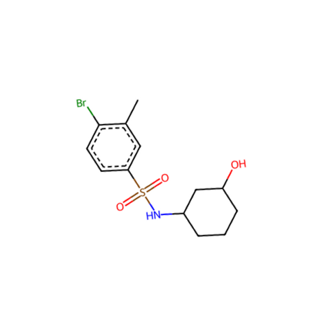 Cc1cc(S(=O)(=O)NC2CCCC(O)C2)ccc1Br